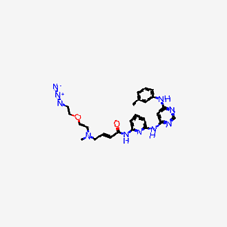 Cc1cccc(Nc2cc(Nc3cccc(NC(=O)/C=C/CN(C)CCOCCN=[N+]=[N-])n3)ncn2)c1